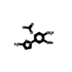 COc1cc(-n2ccc(C)n2)ccc1C(=O)O.O=C(Cl)Cl